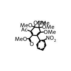 COC(=O)C1=C(C(C)=O)C(OC)(OC)C(OC)(OC)C(OC)=C1c1ccccc1[N+](=O)[O-]